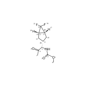 COC(=O)NC(C(C)=O)[C@H]1C[C@@H]2[C@H](C1)C2(F)F